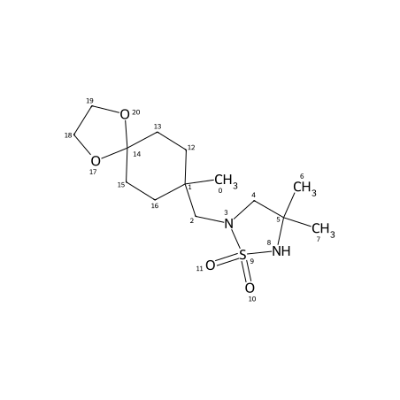 CC1(CN2CC(C)(C)NS2(=O)=O)CCC2(CC1)OCCO2